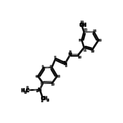 CN(C)c1ccc(/C=N/N=C/c2cccc(O)c2)cc1